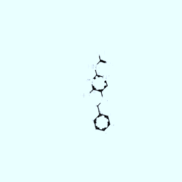 CC(=O)Nc1ncc(OCc2ccccc2)c(O)n1